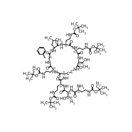 CC(C)C[C@@H]1NC(=O)[C@@H](Cc2ccccc2)NC(=O)[C@H](CCNC(=O)OC(C)(C)C)NC(=O)[C@@H](NC(=O)[C@H](CCNC(=O)OC(C)(C)C)NC(=O)[C@@H](NC(=O)[C@@H](N)CCNC(=O)OC(C)(C)C)[C@@H](C)O)CCNC(=O)[C@H]([C@@H](C)O)NC(=O)[C@H](CCNC(=O)OC(C)(C)C)NC(=O)[C@H](CCNC(=O)OC(C)(C)C)NC1=O